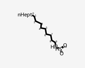 CCCCCCCCCCCCCCCCN[SH](=O)=O